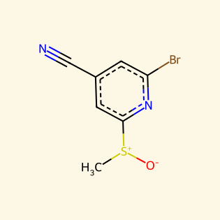 C[S+]([O-])c1cc(C#N)cc(Br)n1